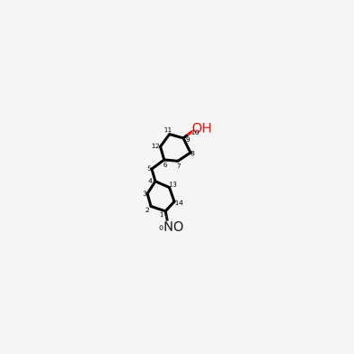 O=NC1CCC(CC2CCC(O)CC2)CC1